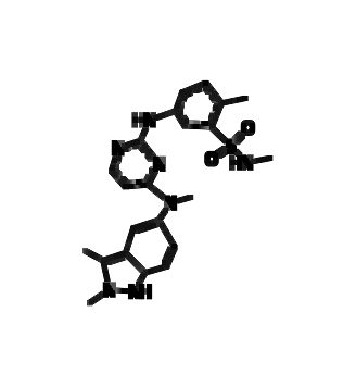 CNS(=O)(=O)c1cc(Nc2nccc(N(C)C3=CC4=C(C)N(C)NC4C=C3)n2)ccc1C